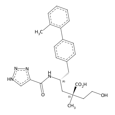 Cc1ccccc1-c1ccc(C[C@H](C[C@@](C)(CCO)C(=O)O)NC(=O)c2c[nH]nn2)cc1